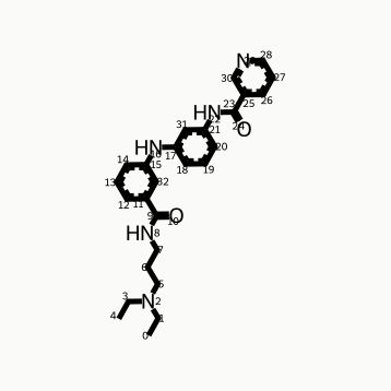 CCN(CC)CCCNC(=O)c1cccc(Nc2cccc(NC(=O)c3cccnc3)c2)c1